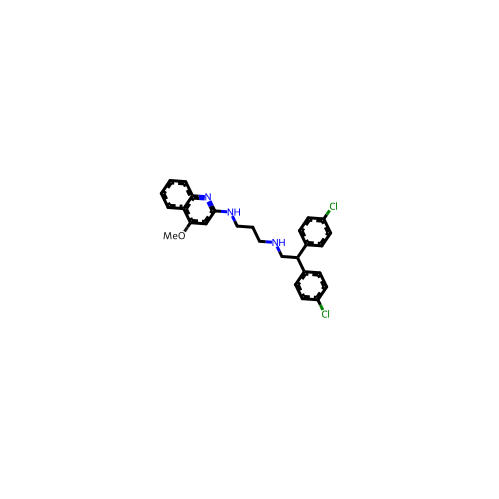 COc1cc(NCCCNCC(c2ccc(Cl)cc2)c2ccc(Cl)cc2)nc2ccccc12